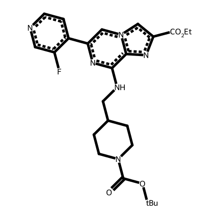 CCOC(=O)c1cn2cc(-c3ccncc3F)nc(NCC3CCN(C(=O)OC(C)(C)C)CC3)c2n1